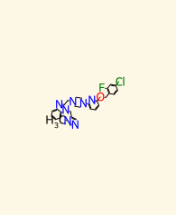 Cn1cncc1Cn1c(CN2CCN(c3cccc(OCc4ccc(Cl)cc4F)n3)CC2)nc2ccccc21